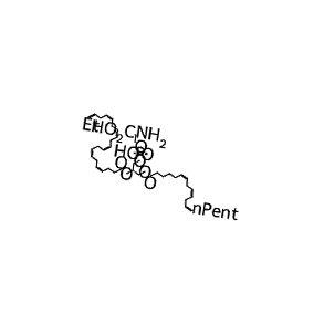 CC/C=C\C/C=C\C/C=C\C/C=C\C/C=C\C/C=C\CCC(=O)O[C@H](COC(=O)CCCC/C=C\C/C=C\C/C=C\CCCCC)COP(=O)(O)OC[C@H](N)C(=O)O